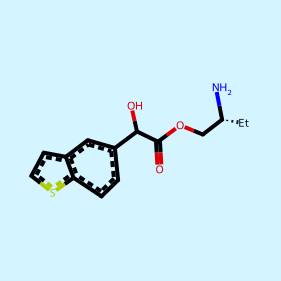 CC[C@@H](N)COC(=O)C(O)c1ccc2sccc2c1